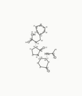 CC(=O)N[C@@H]1CC(=O)CC[C@@H]1N1CC[C@H](N(Cc2ccccc2)C(=O)O)C1=O